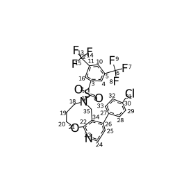 O=S(=O)(c1cc(C(F)(F)F)cc(C(F)(F)F)c1)N1CCCOc2nccc(-c3ccc(Cl)cc3)c2C1